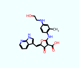 Cc1cc(NCCO)ccc1NC1=C(C(=O)O)C(=O)/C(=C/c2c[nH]c3ncccc23)O1